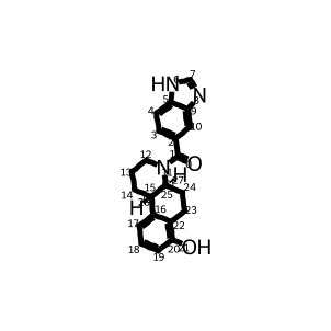 O=C(c1ccc2[nH]cnc2c1)N1CCC[C@H]2c3cccc(O)c3CC[C@@H]21